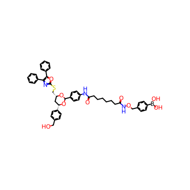 O=C(CCCCCCC(=O)Nc1ccc(C2O[C@@H](CSc3nc(-c4ccccc4)c(-c4ccccc4)o3)C[C@@H](c3ccc(CO)cc3)O2)cc1)NOCc1ccc(B(O)O)cc1